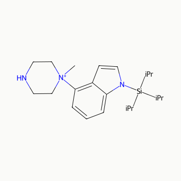 CC(C)[Si](C(C)C)(C(C)C)n1ccc2c([N+]3(C)CCNCC3)cccc21